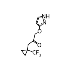 O=C(COc1cc[nH]n1)CC1(C(F)(F)F)CC1